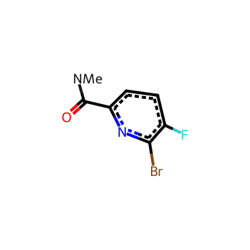 CNC(=O)c1ccc(F)c(Br)n1